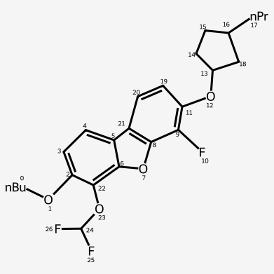 CCCCOc1ccc2c(oc3c(F)c(OC4CCC(CCC)C4)ccc32)c1OC(F)F